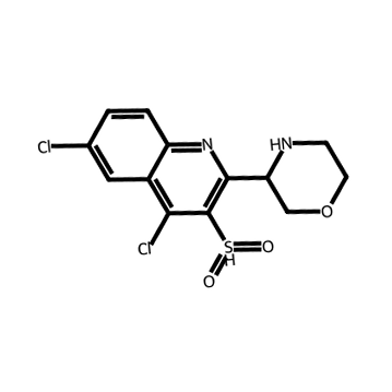 O=[SH](=O)c1c(C2COCCN2)nc2ccc(Cl)cc2c1Cl